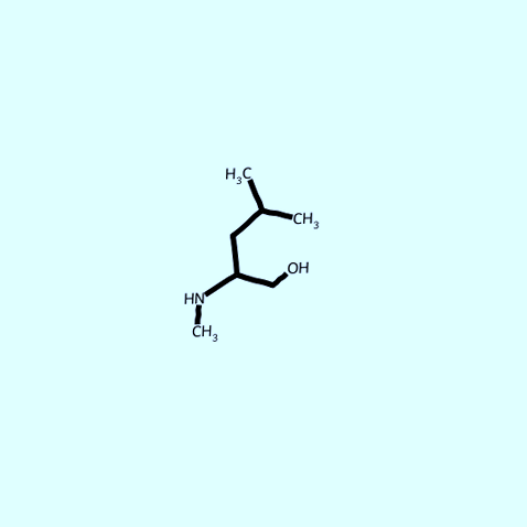 CNC(CO)CC(C)C